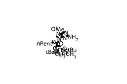 CCCCCO[C@H]1[C@H](O[Si](C)(C)C(C)(C)C)[C@@H](CO[Si](C)(C)C(C)(C)C)O[C@H]1n1cnc2c(OC)nc(N)nc21